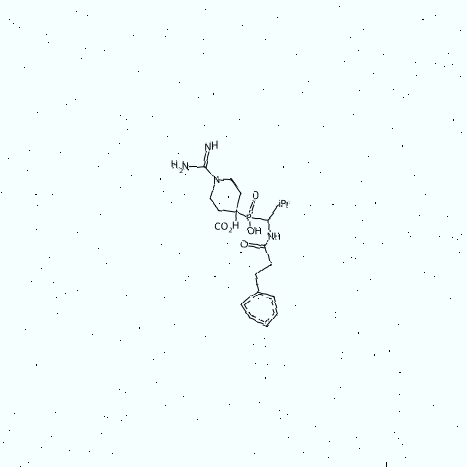 CC(C)C(NC(=O)CCc1ccccc1)P(=O)(O)C1(C(=O)O)CCN(C(=N)N)CC1